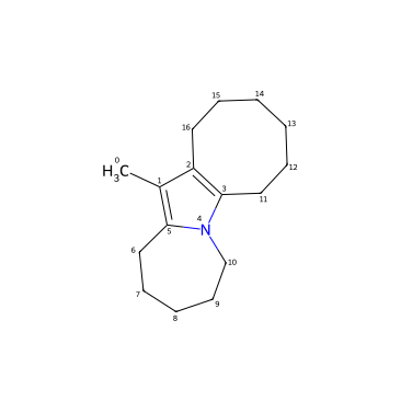 Cc1c2c(n3c1CCCCC3)CCCCCC2